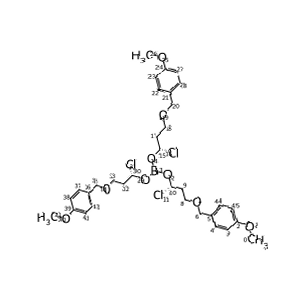 COc1ccc(COCC[C@H](Cl)OB(O[C@@H](Cl)CCOCc2ccc(OC)cc2)O[C@@H](Cl)CCOCc2ccc(OC)cc2)cc1